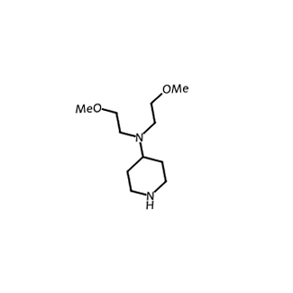 COCCN(CCOC)C1CCNCC1